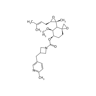 CO[C@H]1C([C@@]2(C)O[C@@H]2CC=C(C)C)[C@]2(CC[C@H]1OC(=O)N1CC(Cc3ccc(C)nc3)C1)CO2